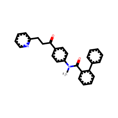 O=C(CCc1ccccn1)c1ccc(N(C(=O)c2ccccc2-c2ccccc2)C(F)(F)F)cc1